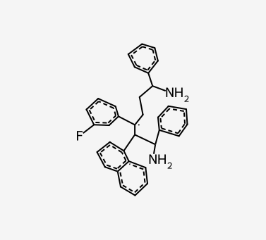 NC(CC[C](c1cccc(F)c1)C(c1cccc2ccccc12)C(N)c1ccccc1)c1ccccc1